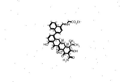 CCOC(=O)CNCc1ccc(-c2ccc(O)c3c2C[C@H]2C[C@H]4C(N(C)C)C(O)=C(C(N)=O)C(=O)[C@@]4(O)C(O)=C2C3=O)c2ccccc12